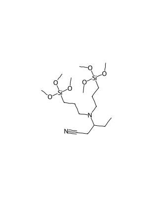 CCC(CC#N)N(CCC[Si](OC)(OC)OC)CCC[Si](OC)(OC)OC